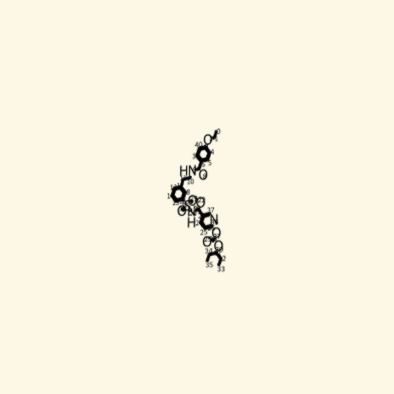 CCOc1ccc(C(=O)NCCc2cccc(S(=O)(=O)NC(=O)c3ccc(OC(=O)OC(CC)CC)nc3)c2)cc1